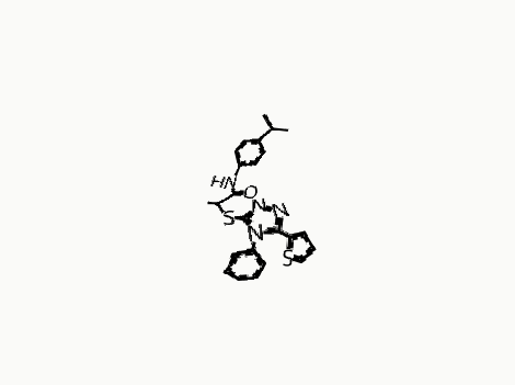 CC(Sc1nnc(-c2cccs2)n1-c1ccccc1)C(=O)Nc1ccc(C(C)C)cc1